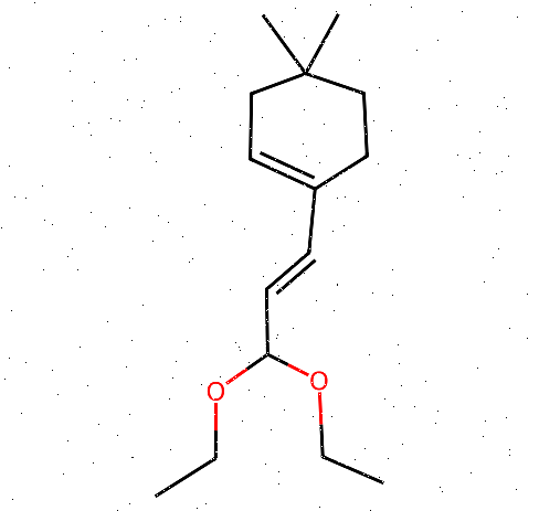 CCOC(/C=C/C1=CCC(C)(C)CC1)OCC